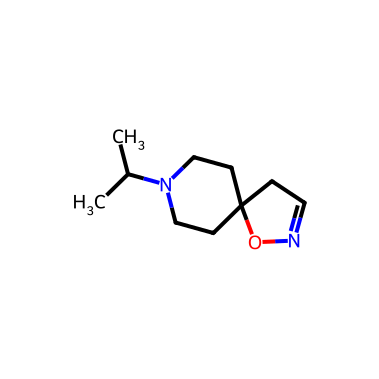 CC(C)N1CCC2(CC=NO2)CC1